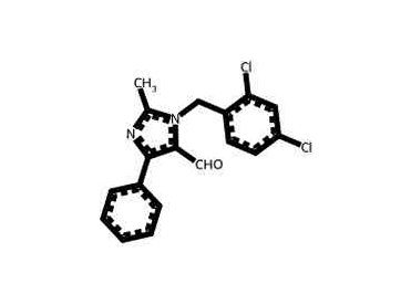 Cc1nc(-c2ccccc2)c(C=O)n1Cc1ccc(Cl)cc1Cl